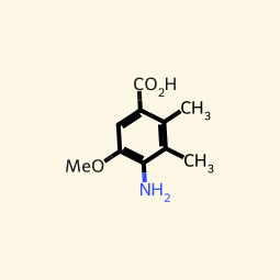 COc1cc(C(=O)O)c(C)c(C)c1N